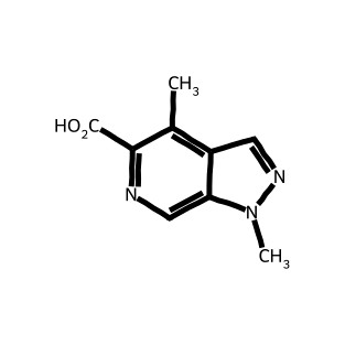 Cc1c(C(=O)O)ncc2c1cnn2C